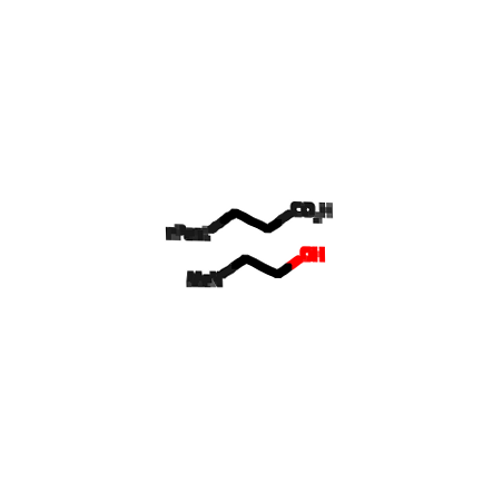 CCCCCCCC(=O)O.CNCCO